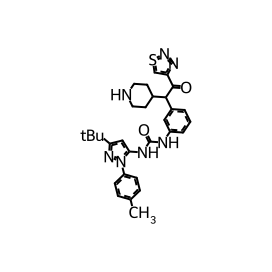 Cc1ccc(-n2nc(C(C)(C)C)cc2NC(=O)Nc2cccc(C(C(=O)c3csnn3)C3CCNCC3)c2)cc1